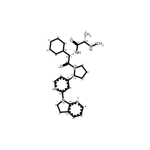 CN[C@@H](C)C(=O)N[C@H](C(=O)N1CCC[C@H]1c1ccnc(N2CCc3cccnc32)c1)C1CCCCC1